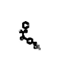 COc1ccc(C2OC2C(=O)Oc2ccccc2)cc1